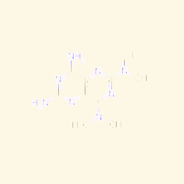 CN(C)c1nc(N(C)C)c2nc(N)nc(N)c2n1